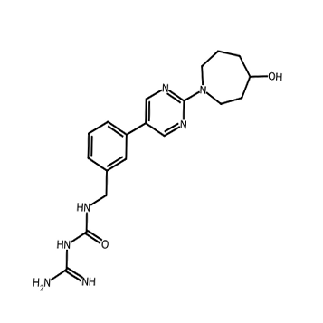 N=C(N)NC(=O)NCc1cccc(-c2cnc(N3CCCC(O)CC3)nc2)c1